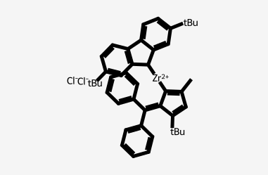 CC1=[C]([Zr+2][CH]2c3cc(C(C)(C)C)ccc3-c3ccc(C(C)(C)C)cc32)C(=C(c2ccccc2)c2ccccc2)C(C(C)(C)C)=C1.[Cl-].[Cl-]